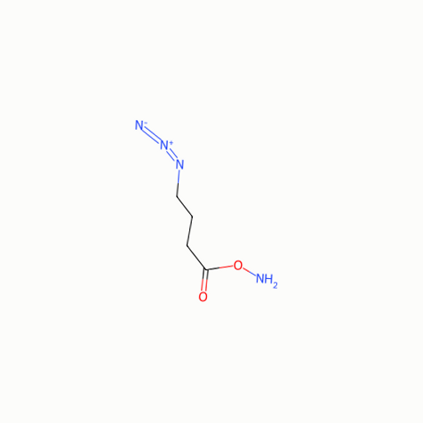 [N-]=[N+]=NCCCC(=O)ON